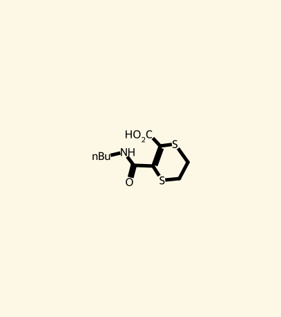 CCCCNC(=O)C1=C(C(=O)O)SCCS1